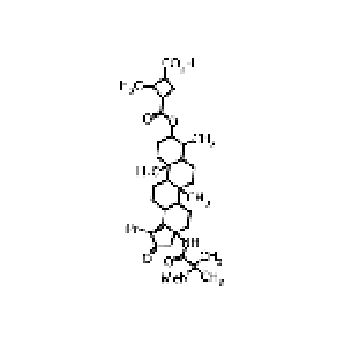 CNC(C)(C)C(=O)NC12CCC3C(CCC4C3(C)CCC3C(C)C(OC(=O)C5CC(C(=O)O)C5C)CCC34C)C1=C(C(C)C)C(=O)C2